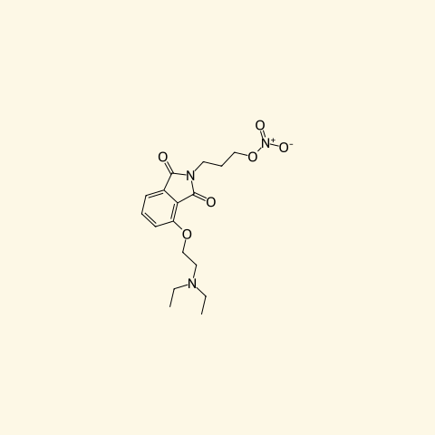 CCN(CC)CCOc1cccc2c1C(=O)N(CCCO[N+](=O)[O-])C2=O